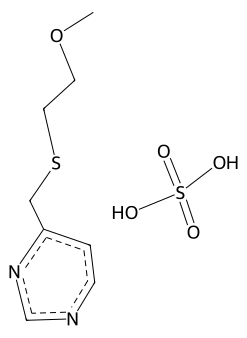 COCCSCc1ccncn1.O=S(=O)(O)O